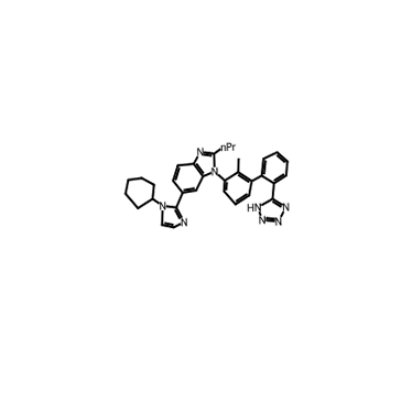 CCCc1nc2ccc(-c3nccn3C3CCCCC3)cc2n1-c1cccc(-c2ccccc2-c2nnn[nH]2)c1C